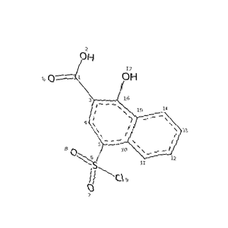 O=C(O)c1cc(S(=O)(=O)Cl)c2ccccc2c1O